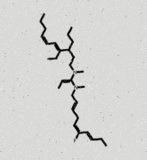 C/C=C(\N(C)C/C=C/C/C=C(F)\C=C\CC)N(C)CCC(CCC)/C(=C/C=C\CCC)CC